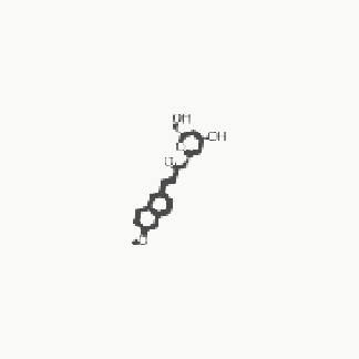 COC1CCC2CC(/C=C/C(=O)C[C@H]3C[C@@H](O)C[C@@H](CO)O3)CCC2C1